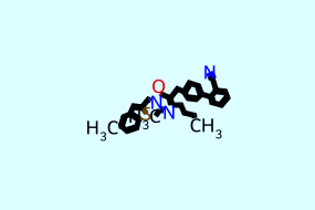 CCCCc1nc(C)n(Cc2cc3cc(C)ccc3s2)c(=O)c1Cc1ccc(-c2ccccc2C#N)cc1